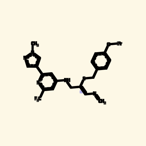 C=N/C=C(/CNc1cc(-c2cnn(C)c2)nc(C(F)(F)F)c1)SCc1ccc(OC(C)C)cc1